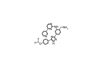 NCc1ccc(-c2n[nH]c(-c3ccc(OC(F)F)cc3)n2)cc1Nc1nccc(-c2cccnc2)n1